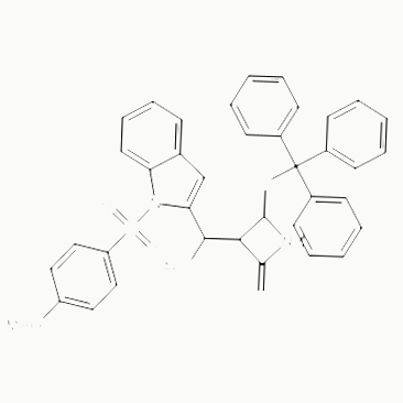 COc1ccc(S(=O)(=O)n2c(C(OC(C)=O)C3C(=O)NC3SC(c3ccccc3)(c3ccccc3)c3ccccc3)cc3ccccc32)cc1